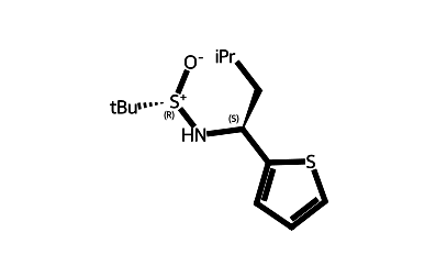 CC(C)C[C@H](N[S@@+]([O-])C(C)(C)C)c1cccs1